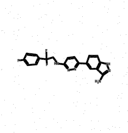 Nc1n[nH]c2ccc(-c3ccc(NCC(F)(F)c4ccc(F)cc4)nn3)cc12